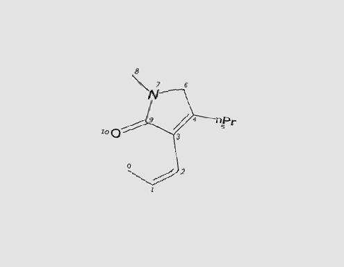 C/C=C\C1=C(CCC)CN(C)C1=O